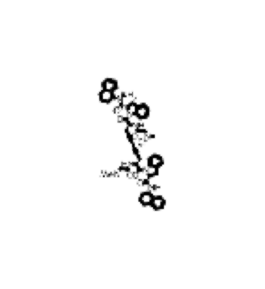 CNCC(=O)N[C@@H](CC#CC#CC[C@H](NC(=O)CN(C)Cl)C(=O)N1c2ccccc2C[C@H]1C(=O)N(N)[C@@H]1CCCc2ccccc21)C(=O)N1c2ccccc2C[C@H]1C(=O)N[C@@H]1CCCc2ccccc21